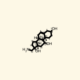 C[C@]12CCC(O)CC1=CC[C@@H]1[C@H]2C(O)C[C@@]2(C)[C@H]1CCC2(O)CN